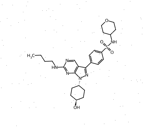 CCCCNc1ncc2c(-c3ccc(S(=O)(=O)NC4CCOCC4)cc3)nn([C@H]3CC[C@H](O)CC3)c2n1